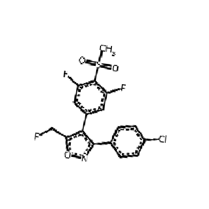 CS(=O)(=O)c1c(F)cc(-c2c(-c3ccc(Cl)cc3)noc2CF)cc1F